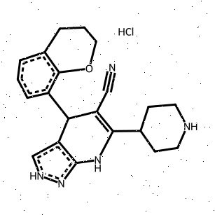 Cl.N#CC1=C(C2CCNCC2)Nc2n[nH]cc2C1c1cccc2c1OCCC2